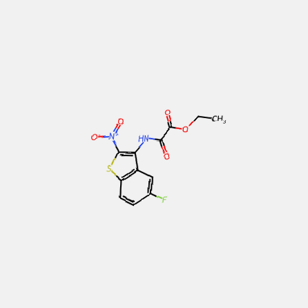 CCOC(=O)C(=O)Nc1c([N+](=O)[O-])sc2ccc(F)cc12